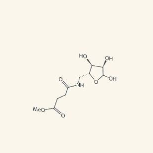 COC(=O)CCC(=O)NC[C@H]1OC(O)[C@H](O)[C@@H]1O